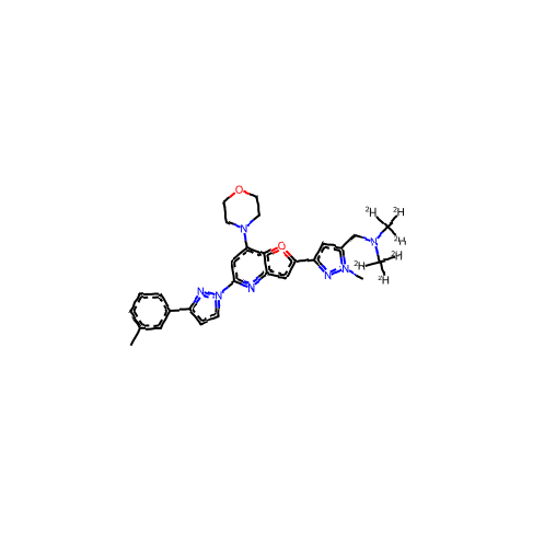 [2H]C([2H])([2H])N(Cc1cc(-c2cc3nc(-n4ccc(-c5cccc(C)c5)n4)cc(N4CCOCC4)c3o2)nn1C)C([2H])([2H])[2H]